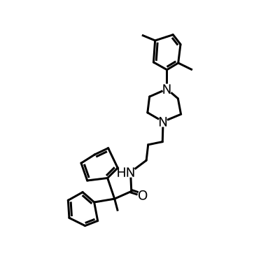 Cc1ccc(C)c(N2CCN(CCCNC(=O)C(C)(c3ccccc3)c3ccccc3)CC2)c1